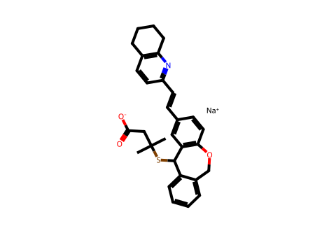 CC(C)(CC(=O)[O-])SC1c2ccccc2COc2ccc(C=Cc3ccc4c(n3)CCCC4)cc21.[Na+]